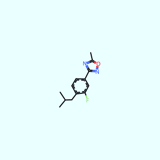 Cc1nc(-c2ccc(CC(C)C)c(F)c2)no1